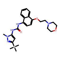 Cn1nc([Si](C)(C)C)cc1NC(=O)Nc1ccc(OCCN2CCOCC2)c2ccccc12